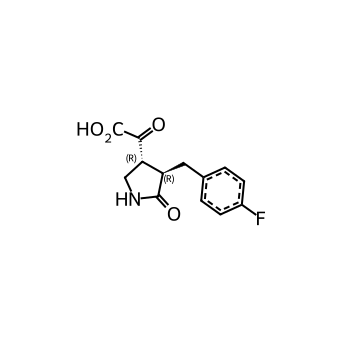 O=C(O)C(=O)[C@H]1CNC(=O)[C@@H]1Cc1ccc(F)cc1